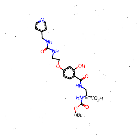 CCCCOC(=O)N[C@@H](CNC(=O)c1ccc(OCCNC(=O)NCc2ccncc2)cc1O)C(=O)O